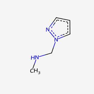 CNCn1cccn1